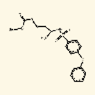 CC(C)(C)OC(=O)CCCC(N)NS(=O)(=O)c1ccc(Oc2ccccc2)cc1